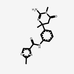 Cc1nc(C(=O)Nc2cccc(C3(C)CC(=O)N(C)C(N)=N3)c2)co1